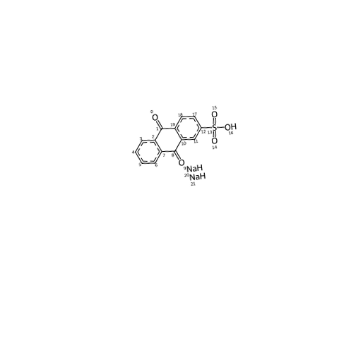 O=C1c2ccccc2C(=O)c2cc(S(=O)(=O)O)ccc21.[NaH].[NaH]